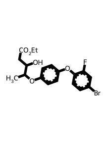 CCOC(=O)CC(O)C(C)Oc1ccc(Oc2ccc(Br)cc2F)cc1